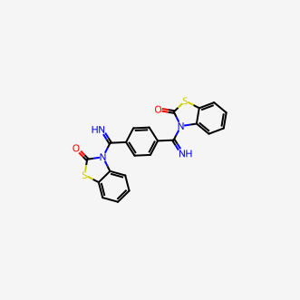 N=C(c1ccc(C(=N)n2c(=O)sc3ccccc32)cc1)n1c(=O)sc2ccccc21